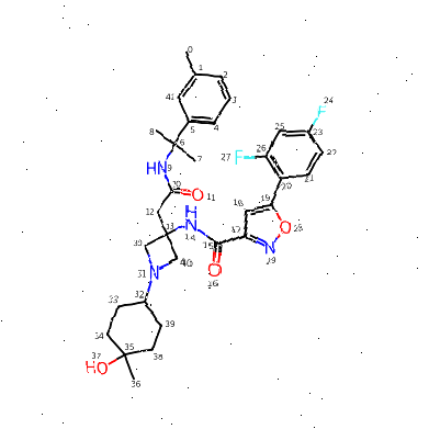 Cc1cccc(C(C)(C)NC(=O)CC2(NC(=O)c3cc(-c4ccc(F)cc4F)on3)CN(C3CCC(C)(O)CC3)C2)c1